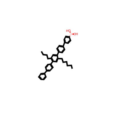 CCCCCCc1cc(-c2ccc(-c3ccccc3)cc2)c(CCCC)cc1-c1ccc(-c2ccc(B(O)O)cc2)cc1